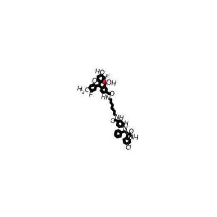 C=c1cc2c(cc1F)=C(c1ccc(C(=O)NCCCCCCNC(=O)c3ccc(N/C(=C4\C(=O)Nc5cc(Cl)ccc54)c4ccccc4)cc3)cc1C(=O)O)c1cc(F)c(O)cc1O2